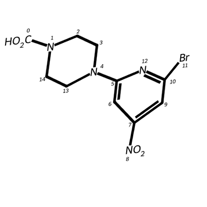 O=C(O)N1CCN(c2cc([N+](=O)[O-])cc(Br)n2)CC1